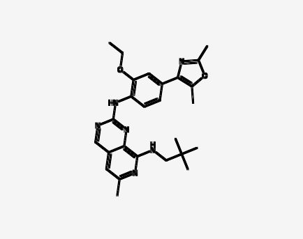 CCOc1cc(-c2nc(C)oc2C)ccc1Nc1ncc2cc(C)nc(NCC(C)(C)C)c2n1